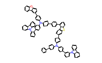 C1=CC2Sc3cc(-c4ccc(N(c5ccc(-c6ccccc6)cc5)c5ccc(-c6cccc(-n7c8ccccc8c8ccccc87)c6)cc5)cc4)ccc3C2C(c2ccc(-c3ccc(N(c4ccc(-c5ccc6oc7ccccc7c6c5)cc4)c4ccc(-c5ccccc5-n5c6ccccc6c6ccccc65)cc4)cc3)cc2)=C1